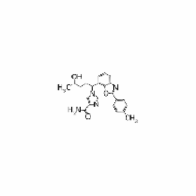 Cc1ccc(-c2nc3cccc(C(CC[C@H](C)O)n4cnc(C(N)=O)c4)c3o2)cc1